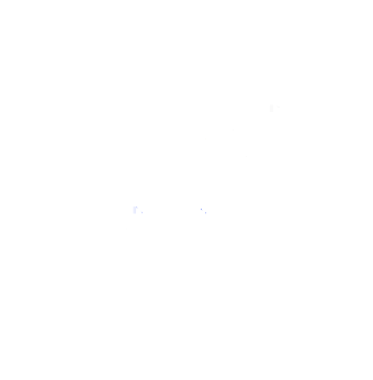 CC(C)Cc1cc2c(s1)CC1c3[nH]c4ccccc4c3CCN1C2